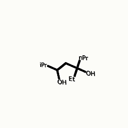 CCCC(O)(CC)CC(O)C(C)C